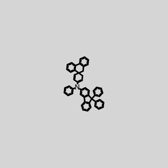 C1=CC2(CC=C1N(c1ccccc1)c1ccc3c(c1)-c1ccccc1C3(c1ccccc1)c1ccccc1)Cc1ccccc1-c1ccccc12